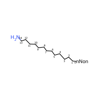 CCCCCCCCCCCCCCCCCC[CH]CCCN